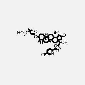 CC(C)C1=C2C3CC[C@H]4C(C)(CC[C@H]5C(C)C(OC(=O)CC(C)(C)C(=O)O)CCC54C)C3CCC2(C(O)c2nnc(-c3ccc(Cl)cn3)o2)CC1=O